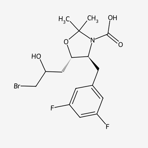 CC1(C)O[C@@H](CC(O)CBr)[C@H](Cc2cc(F)cc(F)c2)N1C(=O)O